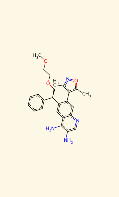 COCCOC[C@H](c1ccccc1)c1cc2c(N)c(N)cnc2cc1-c1c(C)noc1C